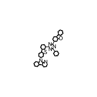 c1ccc(-c2nc(-c3ccc4c(c3)oc3ccccc34)nc(-c3cccc4c3sc3cc(-n5c6ccccc6c6cccnc65)ccc34)n2)cc1